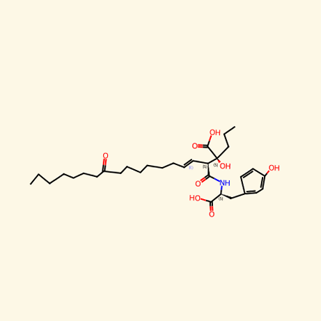 CCCCCCCC(=O)CCCCCC/C=C/[C@H](C(=O)N[C@@H](Cc1ccc(O)cc1)C(=O)O)[C@@](O)(CCC)C(=O)O